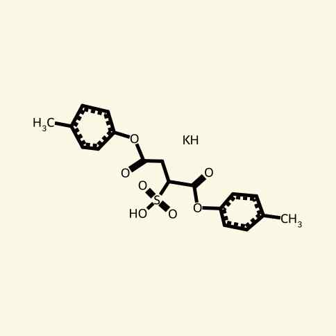 Cc1ccc(OC(=O)CC(C(=O)Oc2ccc(C)cc2)S(=O)(=O)O)cc1.[KH]